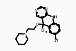 FC(F)(F)C1(OCCN2CCCCC2)c2cc(Cl)ccc2Nc2ncncc21